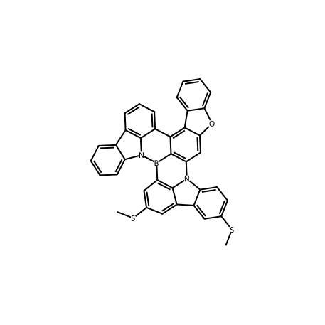 CSc1ccc2c(c1)c1cc(SC)cc3c1n2-c1cc2oc4ccccc4c2c2c1B3n1c3ccccc3c3cccc-2c31